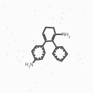 NC1=C(c2ccccc2)C(c2ccc(N)cc2)=CCC1